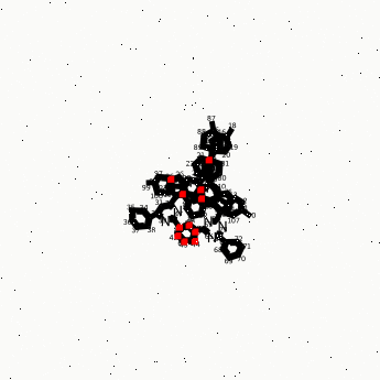 Cc1ccc(-c2ccc3c(c2)c2cc(-c4ccc(C)cc4)ccc2n3-c2cccc(-c3cc(-c4ccccc4)nc(-c4ccccc4)n3)c2-c2cccc(-c3c(-c4nc(-c5ccccc5)nc(-c5ccccc5)n4)cccc3-n3c4ccc(-c5ccc(C)cc5)cc4c4cc(-c5ccc(C)cc5)ccc43)c2)cc1